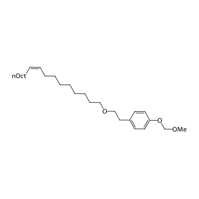 CCCCCCCC/C=C\CCCCCCCCOCCc1ccc(OCOC)cc1